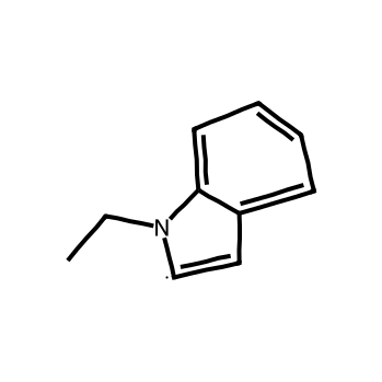 CCn1[c]cc2ccccc21